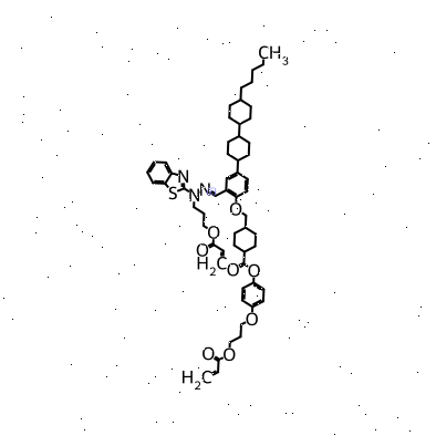 C=CC(=O)OCCCOc1ccc(OC(=O)C2CCC(COc3ccc(C4CCC(C5CCC(CCCCC)CC5)CC4)cc3/C=N/N(CCCOC(=O)C=C)c3nc4ccccc4s3)CC2)cc1